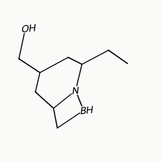 CCC1CC(CO)CC2CBN12